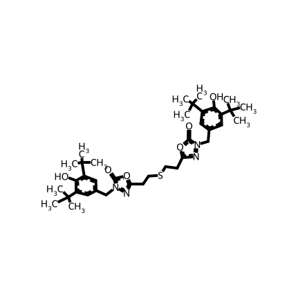 CC(C)(C)c1cc(Cn2nc(CCSCCc3nn(Cc4cc(C(C)(C)C)c(O)c(C(C)(C)C)c4)c(=O)o3)oc2=O)cc(C(C)(C)C)c1O